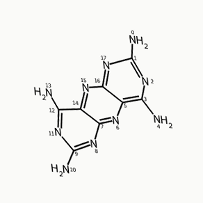 Nc1nc(N)c2nc3nc(N)nc(N)c3nc2n1